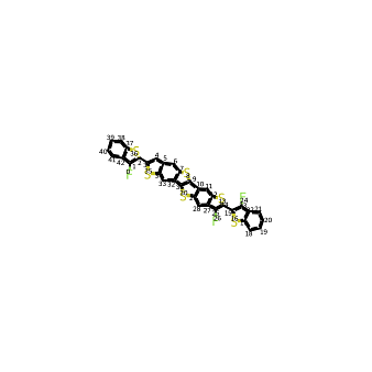 Fc1c(-c2cc3cc4sc5c6cc7sc(-c8sc9ccccc9c8F)c(F)c7cc6sc5c4cc3s2)sc2ccccc12